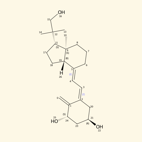 C=C1/C(=C\C=C2/CCC[C@]3(C)[C@@H](C(C)(C)CO)CC[C@@H]23)C[C@@H](O)C[C@@H]1O